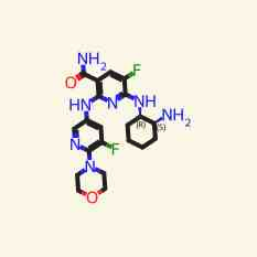 NC(=O)c1cc(F)c(N[C@@H]2CCCC[C@@H]2N)nc1Nc1cnc(N2CCOCC2)c(F)c1